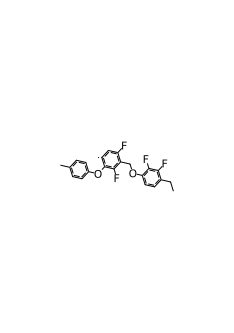 CCc1ccc(OCc2c(F)c[c]c(Oc3ccc(C)cc3)c2F)c(F)c1F